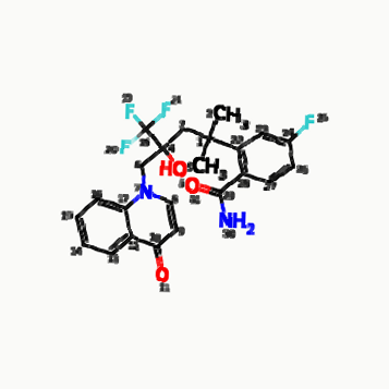 CC(C)(CC(O)(Cn1ccc(=O)c2ccccc21)C(F)(F)F)c1cc(F)ccc1C(N)=O